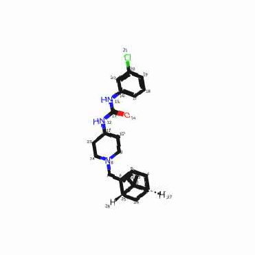 CC1(C)[C@H]2CC=C(CN3CCC(NC(=O)Nc4cccc(Cl)c4)CC3)[C@H]1C2